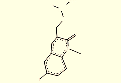 Cn1c(=O)c(CN[S@@+]([O-])C(C)(C)C)cc2cc(Cl)ccc21